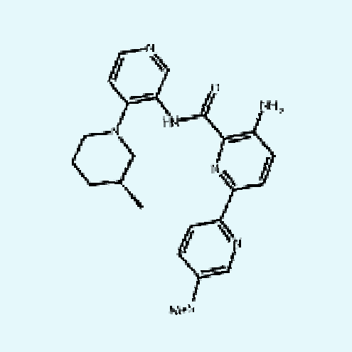 CSc1ccc(-c2ccc(N)c(C(=O)Nc3cnccc3N3CCC[C@H](C)C3)n2)nc1